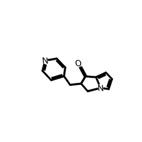 O=C1c2cccn2CC1Cc1ccncc1